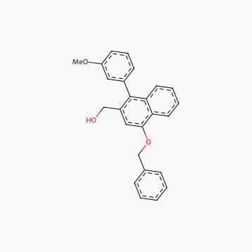 COc1cccc(-c2c(CO)cc(OCc3ccccc3)c3ccccc23)c1